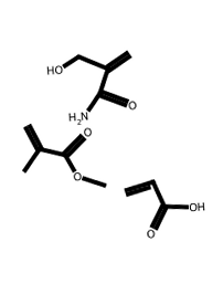 C=C(C)C(=O)OC.C=C(CO)C(N)=O.C=CC(=O)O